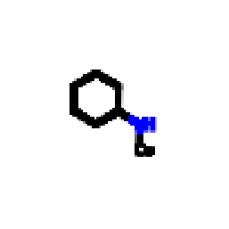 [Co][NH]C1CCCCC1